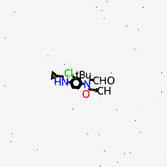 C#CC(=O)N(c1ccc(NCC2CC2)c(Cl)c1)C(C=O)C(C)(C)C